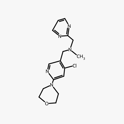 CN(Cc1ncccn1)Cc1cnc(N2CCOCC2)cc1Cl